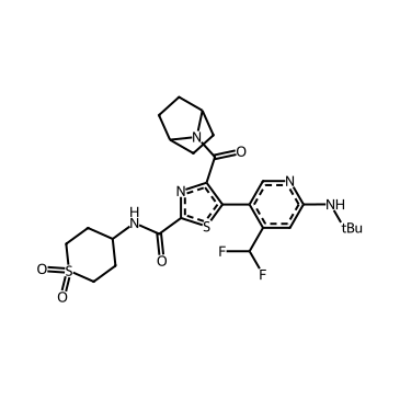 CC(C)(C)Nc1cc(C(F)F)c(-c2sc(C(=O)NC3CCS(=O)(=O)CC3)nc2C(=O)N2C3CCC2CC3)cn1